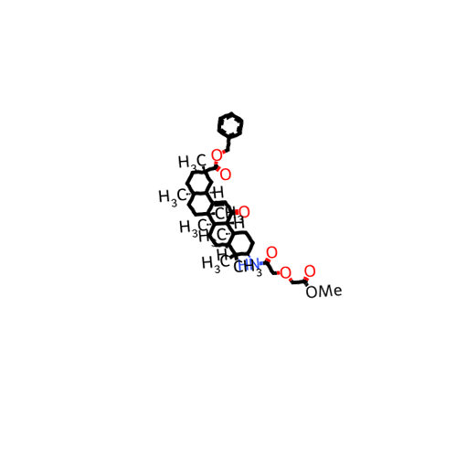 COC(=O)COCC(=O)N[C@H]1CC[C@]2(C)[C@H]3C(=O)C=C4[C@@H]5C[C@@](C)(C(=O)OCc6ccccc6)CC[C@]5(C)CC[C@@]4(C)[C@]3(C)CC[C@H]2C1(C)C